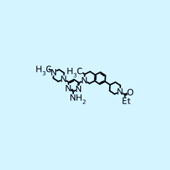 CCC(=O)N1CCC(c2ccc3c(c2)CN(c2cc(N4CCN(C)CC4)nc(N)n2)C(C)C3)CC1